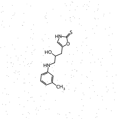 Cc1cccc(NCC(O)Cc2c[nH]c(=S)o2)c1